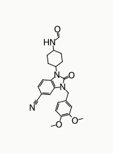 COc1ccc(Cn2c(=O)n(C3CCC(NC=O)CC3)c3ccc(C#N)cc32)cc1OC